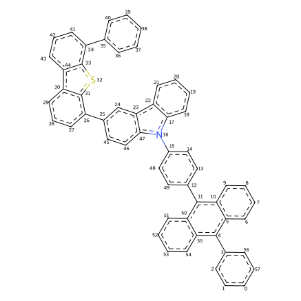 c1ccc(-c2c3ccccc3c(-c3ccc(-n4c5ccccc5c5cc(-c6cccc7c6sc6c(-c8ccccc8)cccc67)ccc54)cc3)c3ccccc23)cc1